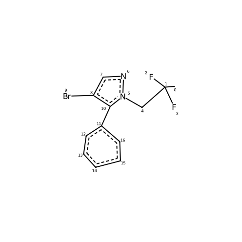 CC(F)(F)Cn1ncc(Br)c1-c1ccccc1